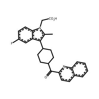 Cc1c(C2CCC(C(=O)c3ccc4ccccc4n3)CC2)c2cc(F)ccc2n1CC(=O)O